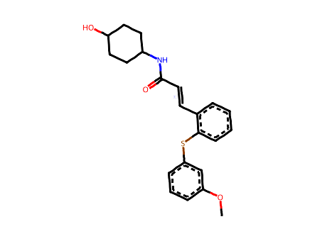 COc1cccc(Sc2ccccc2/C=C/C(=O)NC2CCC(O)CC2)c1